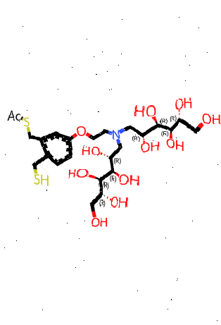 CC(=O)SCc1cc(OCCN(C[C@@H](O)[C@@H](O)[C@H](O)[C@H](O)CO)C[C@@H](O)[C@@H](O)[C@H](O)[C@H](O)CO)ccc1CS